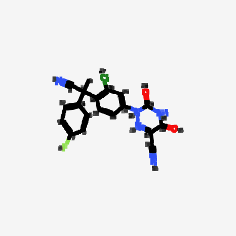 CC(C#N)(c1ccc(F)cc1)c1ccc(-n2nc(C#N)c(=O)[nH]c2=O)cc1Cl